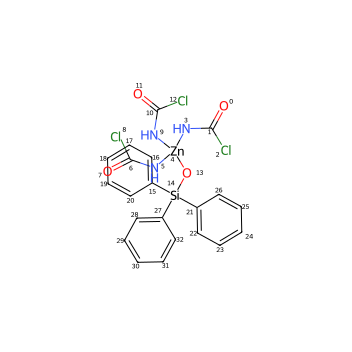 O=C(Cl)[NH][Zn]([NH]C(=O)Cl)([NH]C(=O)Cl)[O][Si](c1ccccc1)(c1ccccc1)c1ccccc1